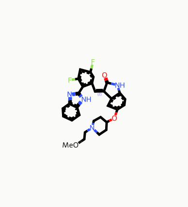 COCCN1CCC(Oc2ccc3c(c2)/C(=C/c2cc(F)cc(F)c2-c2nc4ccccc4[nH]2)C(=O)N3)CC1